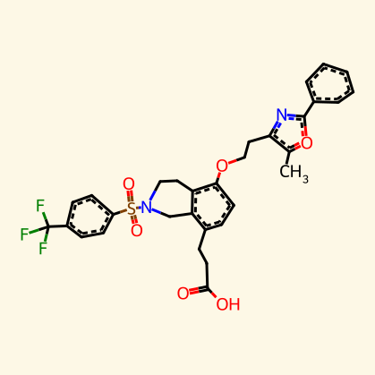 Cc1oc(-c2ccccc2)nc1CCOc1ccc(CCC(=O)O)c2c1CCN(S(=O)(=O)c1ccc(C(F)(F)F)cc1)C2